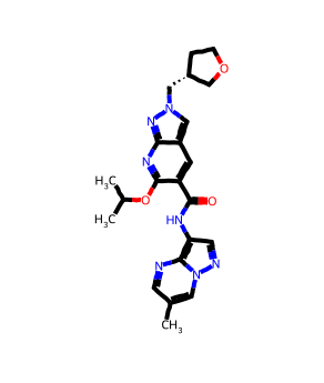 Cc1cnc2c(NC(=O)c3cc4cn(C[C@@H]5CCOC5)nc4nc3OC(C)C)cnn2c1